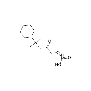 CC(C)(CC(=O)CO[PH](=O)O)C1CCCCC1